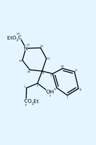 CCOC(=O)CC(O)C1(c2ccccc2)CCN(C(=O)OCC)CC1